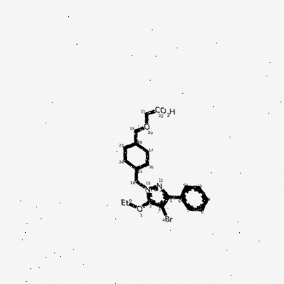 CCOc1c(Br)c(-c2ccccc2)nn1CC1CCC(COCC(=O)O)CC1